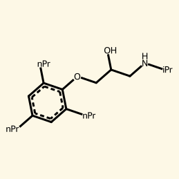 CCCc1cc(CCC)c(OCC(O)CNC(C)C)c(CCC)c1